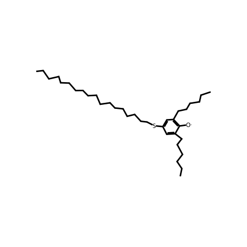 CCCCCCCCCCCCCCCCCCSc1cc(CCCCCC)c([O])c(CCCCCC)c1